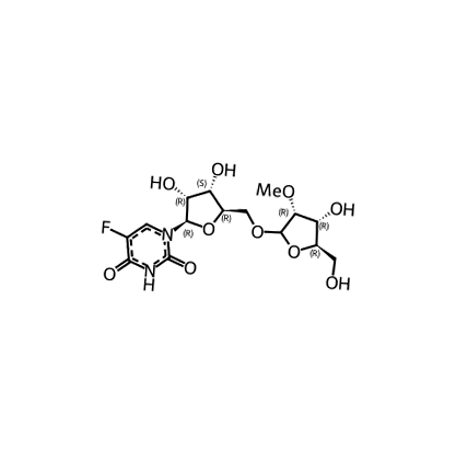 CO[C@H]1C(OC[C@H]2O[C@@H](n3cc(F)c(=O)[nH]c3=O)[C@H](O)[C@@H]2O)O[C@H](CO)[C@H]1O